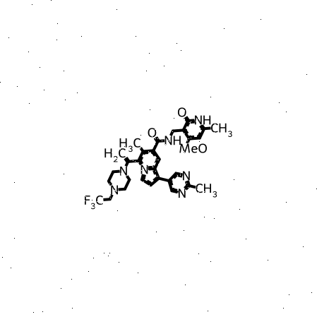 C=C(c1c(C)c(C(=O)NCc2c(OC)cc(C)[nH]c2=O)cc2c(-c3cnc(C)nc3)ccn12)N1CCN(CC(F)(F)F)CC1